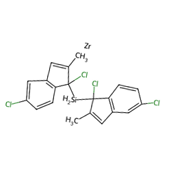 CC1=Cc2cc(Cl)ccc2C1(Cl)[SiH2]C1(Cl)C(C)=Cc2cc(Cl)ccc21.[Zr]